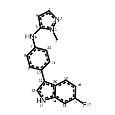 Cn1nccc1Nc1ccc(-c2c[nH]c3cc(F)ccc23)cc1